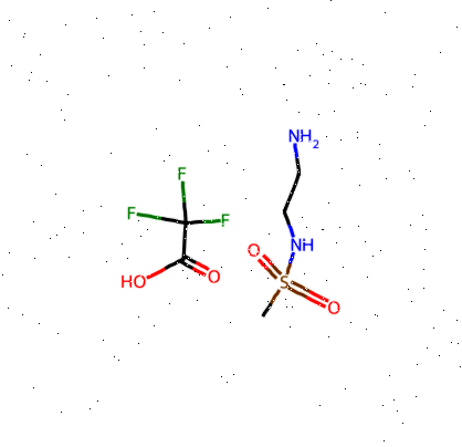 CS(=O)(=O)NCCN.O=C(O)C(F)(F)F